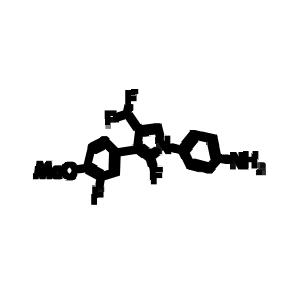 COc1ccc(-c2c(C(F)F)cn(-c3ccc(N)cc3)c2F)cc1F